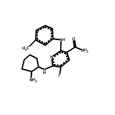 Cc1cccc(Nc2nc(NC3CCCCC3N)c(F)cc2C(N)=O)c1